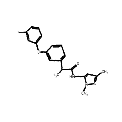 Cc1cc(NC(=O)C(C)c2cccc(Oc3cccc(F)c3)c2)n(C)n1